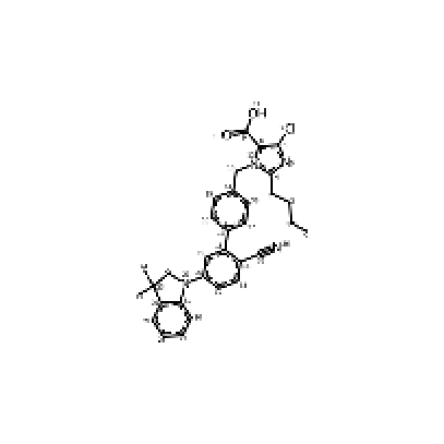 CCCCc1nc(Cl)c(C(=O)O)n1Cc1ccc(-c2cc(N3CC(C)(C)c4ccccc43)ccc2C#N)cc1